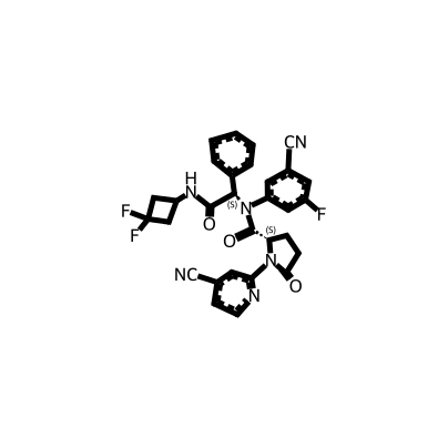 N#Cc1cc(F)cc(N(C(=O)[C@@H]2CCC(=O)N2c2cc(C#N)ccn2)[C@H](C(=O)NC2CC(F)(F)C2)c2ccccc2)c1